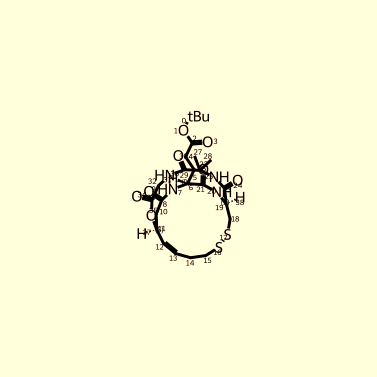 CC(C)(C)OC(=O)CC[C@H]1NC(=O)C[C@H]2C=CCCSSC[C@@H](NC1=O)C(=O)NC(C)(C)C(=O)NCC(=O)O2